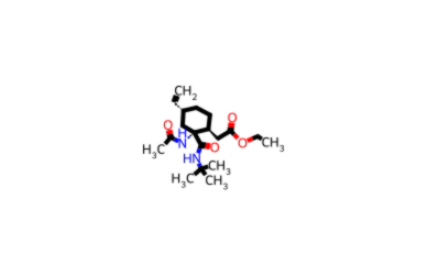 C=C[C@@H]1CC[C@@H](CC(=O)OCC)[C@@](NC(C)=O)(C(=O)NC(C)(C)C)C1